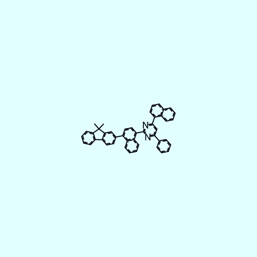 CC1(C)c2ccccc2-c2ccc(-c3ccc(-c4nc(-c5ccccc5)cc(-c5cccc6ccccc56)n4)c4ccccc34)cc21